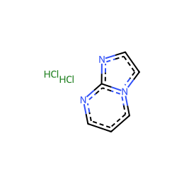 Cl.Cl.c1cnc2nccn2c1